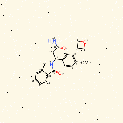 C1COC1.COc1ccc(C(CC(N)=O)N2Cc3ccccc3C2=O)cc1